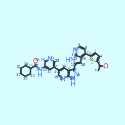 CC(=O)c1ccc(-c2ccnc3[nH]c(-c4n[nH]c5ncc(-c6cncc(NC(=O)C7CCCCC7)c6)cc45)cc23)s1